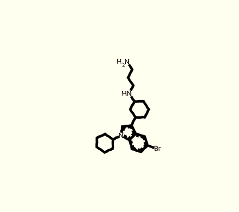 NCCCNC1CCCC(c2cn(C3CCCCC3)c3ccc(Br)cc23)C1